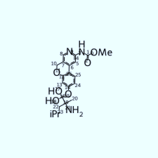 COC(=O)Nc1cc2c(cn1)COc1cc(OC(O)(O)C(C)(N)CC(C)C)ccc1-2